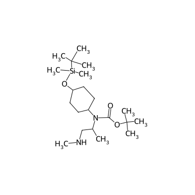 CNCC(C)N(C(=O)OC(C)(C)C)C1CCC(O[Si](C)(C)C(C)(C)C)CC1